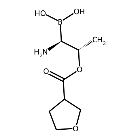 C[C@H](OC(=O)C1CCOC1)[C@@H](N)B(O)O